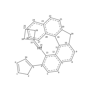 C1=CCC(c2ccc3ccc4c(c3[c]2[Hf]=[C]2CCC2)-c2c(ccc3ccccc23)C4)=C1